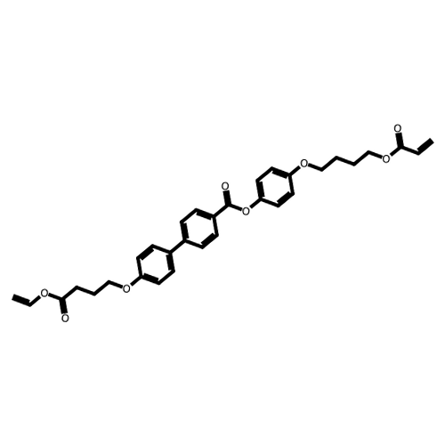 C=COC(=O)CCCOc1ccc(-c2ccc(C(=O)Oc3ccc(OCCCCOC(=O)C=C)cc3)cc2)cc1